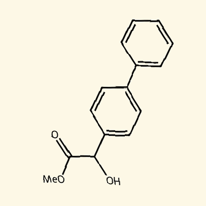 COC(=O)C(O)c1ccc(-c2ccccc2)cc1